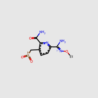 CCO/N=C(\N)c1ccc(C[SH](=O)=O)c(C(N)=O)n1